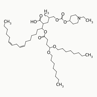 CCCCC/C=C\C/C=C\CCCCCC(OC(=O)CCC(OCCCCCCCC)OCCCCCCCC)C(CC(C)COC(=O)OC1CCN(CC)CC1)C(=O)O